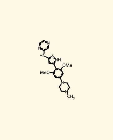 COc1cc(N2CCN(C)CC2)cc(OC)c1-c1cc(Nc2cnccn2)n[nH]1